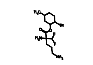 CC1CCC(C(C)C)C(OC(=O)C(N)(CCCN)C(F)F)C1